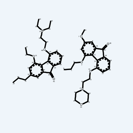 CCCOc1cc(OC)cc2c1-c1c(OCCN3CCOCC3)cccc1C2=O.CCCc1cc(OCC)c2c(c1)C(=O)c1cccc(OCCN(CC)CC)c1-2